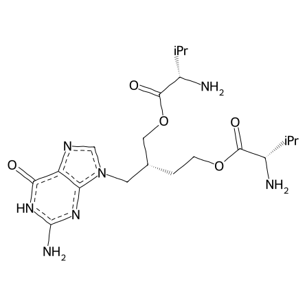 CC(C)[C@H](N)C(=O)OCC[C@@H](COC(=O)[C@@H](N)C(C)C)Cn1cnc2c(=O)[nH]c(N)nc21